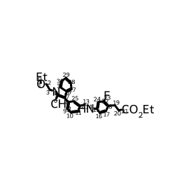 CCOCCn1c(C)c(-c2cccc(CNc3ccc(CCC(=O)OCC)c(F)c3)c2)c2ccccc21